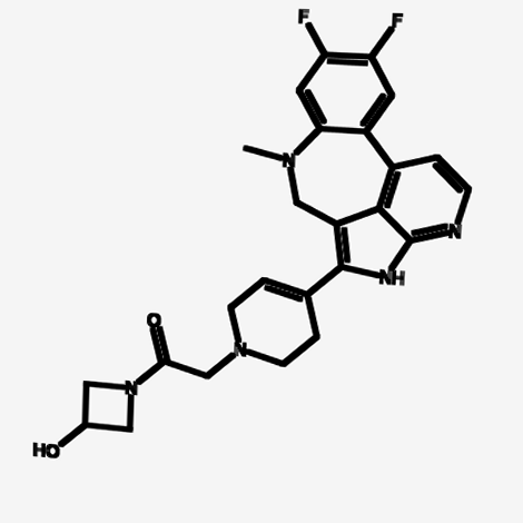 CN1Cc2c(C3=CCN(CC(=O)N4CC(O)C4)CC3)[nH]c3nccc(c23)-c2cc(F)c(F)cc21